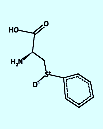 N[C@@H](C[S+]([O-])c1ccccc1)C(=O)O